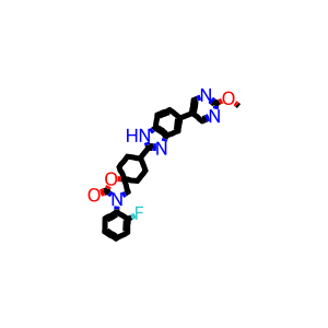 COc1ncc(-c2ccc3[nH]c(C4CCC5(CC4)CN(c4ccccc4F)C(=O)O5)nc3c2)cn1